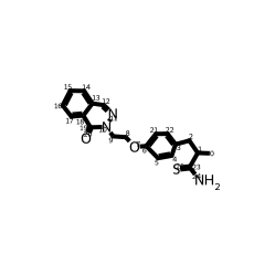 CC(Cc1ccc(OCCn2ncc3ccccc3c2=O)cc1)C(N)=S